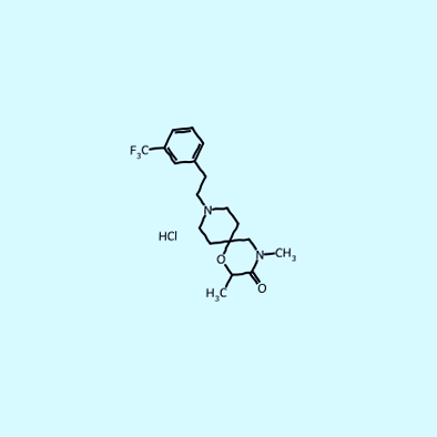 CC1OC2(CCN(CCc3cccc(C(F)(F)F)c3)CC2)CN(C)C1=O.Cl